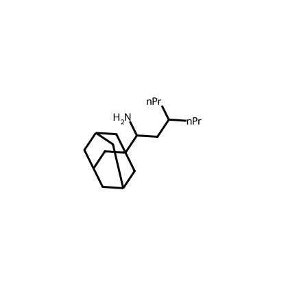 CCCC(CCC)CC(N)C12CC3CC(CC(C3)C1)C2